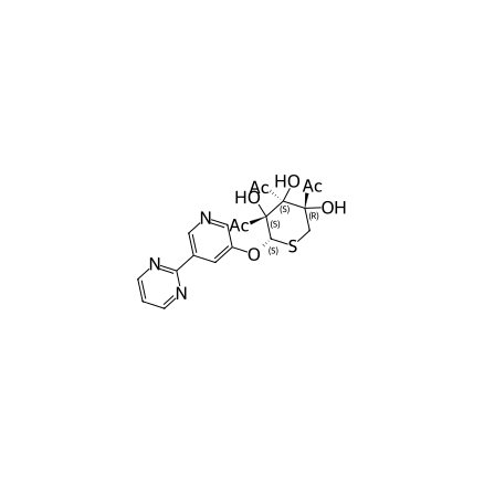 CC(=O)[C@]1(O)[C@@](O)(C(C)=O)CS[C@H](Oc2cncc(-c3ncccn3)c2)[C@@]1(O)C(C)=O